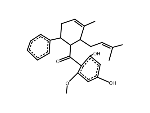 COc1cc(O)cc(O)c1C(=O)C1C(CC=C(C)C)C(C)=CCC1c1ccccc1